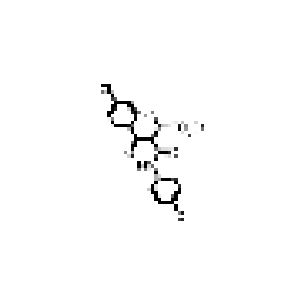 CCCC(C(=O)OCC)C(C(=O)Nc1ccc(Cl)cc1)C(=O)c1ccc(Cl)cc1